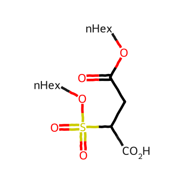 CCCCCCOC(=O)CC(C(=O)O)S(=O)(=O)OCCCCCC